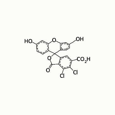 O=C(O)c1cc2c(c(Cl)c1Cl)C(=O)OC21c2ccc(O)cc2Oc2cc(O)ccc21